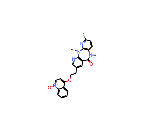 CCN1c2ncc(CCOc3cc[n+]([O-])c4ccccc34)cc2C(=O)N(C)c2ccc(Cl)nc21